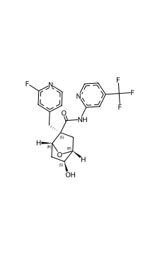 O=C(Nc1cc(C(F)(F)F)ccn1)[C@@]1(Cc2ccnc(F)c2)C[C@H]2O[C@@H]1C[C@@H]2O